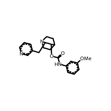 COc1cccc(NC(=O)OC2C3CCN(CC3)C2Cc2cccnc2)c1